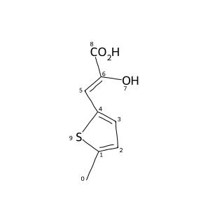 Cc1ccc(/C=C(\O)C(=O)O)s1